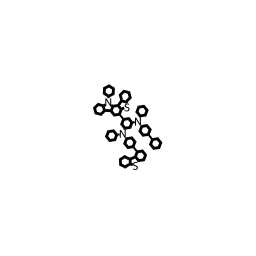 c1ccc(-c2ccc(N(c3ccccc3)c3cc(-c4cc5c6ccccc6n(-c6ccccc6)c5c5c4sc4ccccc45)cc(N(c4ccccc4)c4ccc(-c5cccc6sc7ccccc7c56)cc4)c3)cc2)cc1